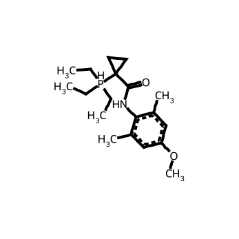 CC[PH](CC)(CC)C1(C(=O)Nc2c(C)cc(OC)cc2C)CC1